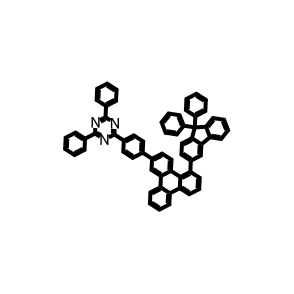 c1ccc(-c2nc(-c3ccccc3)nc(-c3ccc(-c4ccc5c(c4)c4ccccc4c4cccc(-c6ccc7c(c6)-c6ccccc6C7(c6ccccc6)c6ccccc6)c45)cc3)n2)cc1